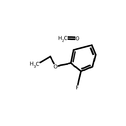 C=O.CCOc1ccccc1F